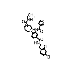 CCNC(=O)N1CCCN(c2ccc(C(=O)NCCc3ccc(Cl)cc3Cl)cc2NC(=O)c2ccsc2)CC1